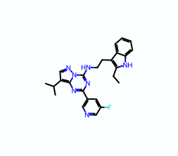 CCc1[nH]c2ccccc2c1CCNc1nc(-c2cncc(F)c2)nc2c(C(C)C)cnn12